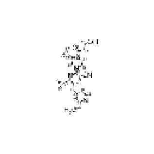 C=Cc1cc(Cc2cc(C#N)c(N3CCN(C(=O)CCO)C(C4CC4)C3)nc2C2CC2)ccn1